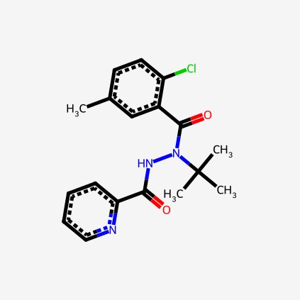 Cc1ccc(Cl)c(C(=O)N(NC(=O)c2ccccn2)C(C)(C)C)c1